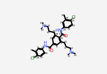 Cc1cc(NC(=O)c2cc(CCCN(C)C)c(C(=O)Nc3ccc(Cl)c(C)c3)c(CCCN(C)C)c2)ccc1Cl